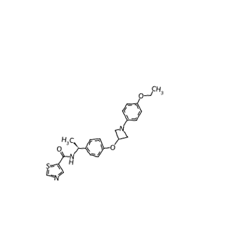 CCOc1ccc(N2CC(Oc3ccc([C@H](C)NC(=O)c4cncs4)cc3)C2)cc1